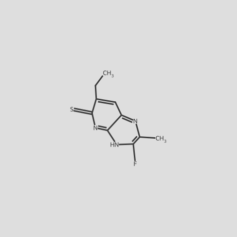 CCc1cc2nc(C)c(F)[nH]c-2nc1=S